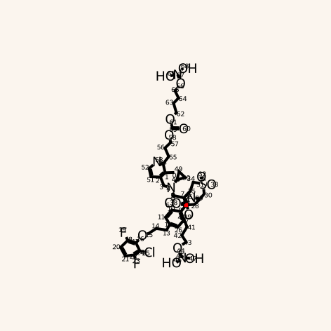 Cc1c(CN(C(=O)C2=C(c3ccc(CCCOc4c(F)ccc(F)c4Cl)cc3)CC3CS(=O)(=O)CC2N3C(=O)OCCCCON(O)O)C2CC2)ccnc1CCCOC(=O)OCCCCON(O)O